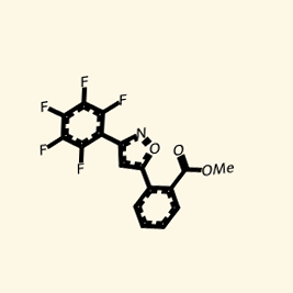 COC(=O)c1ccccc1-c1cc(-c2c(F)c(F)c(F)c(F)c2F)no1